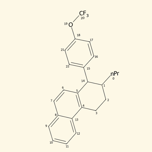 CCCC1CCc2c(ccc3ccccc23)C1c1ccc(OC(F)(F)F)cc1